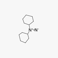 [N-]=[N+](C1CCCCC1)C1CCCCC1